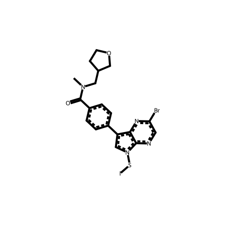 CN(CC1CCOC1)C(=O)c1ccc(-c2cn(SI)c3ncc(Br)nc23)cc1